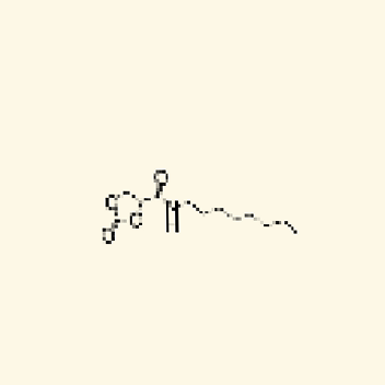 CCCCCCCCNC(=O)C1COC(=O)O1